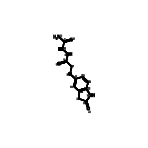 NC(=S)NNC(=O)COc1ccc2c(c1)CC(=O)N2